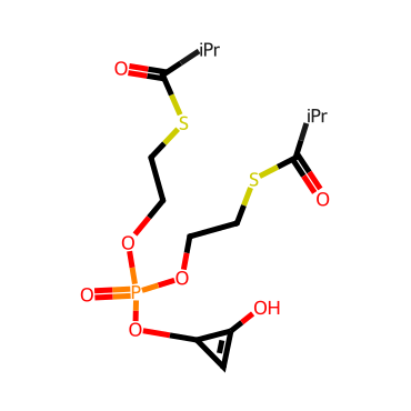 CC(C)C(=O)SCCOP(=O)(OCCSC(=O)C(C)C)OC1C=C1O